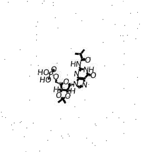 CC(C)C(=O)Nc1nc2c(ncn2[C@@H]2O[C@H](COP(=O)(O)O)[C@H]3OC(C)(C)O[C@H]32)c(=O)[nH]1